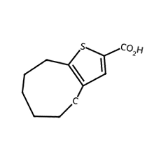 O=C(O)c1cc2c(s1)CCCCCC2